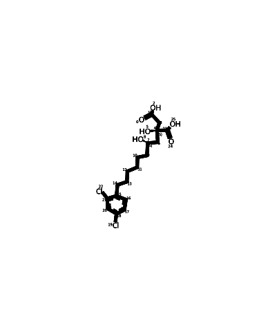 O=C(O)C[C@@](O)(C[C@@H](O)CCCCCCc1ccc(Cl)cc1Cl)C(=O)O